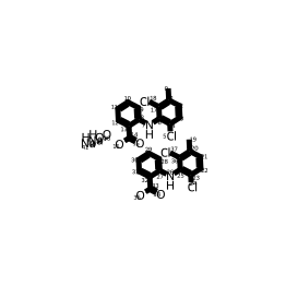 Cc1ccc(Cl)c(Nc2ccccc2C(=O)[O-])c1Cl.Cc1ccc(Cl)c(Nc2ccccc2C(=O)[O-])c1Cl.O.O.[Na+].[Na+]